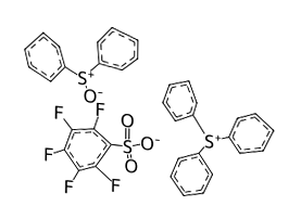 O=S(=O)([O-])c1c(F)c(F)c(F)c(F)c1F.[O-][S+](c1ccccc1)c1ccccc1.c1ccc([S+](c2ccccc2)c2ccccc2)cc1